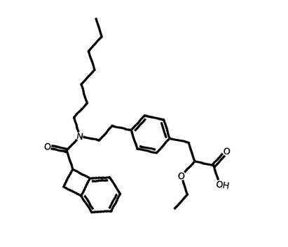 CCCCCCCN(CCc1ccc(CC(OCC)C(=O)O)cc1)C(=O)C1Cc2ccccc21